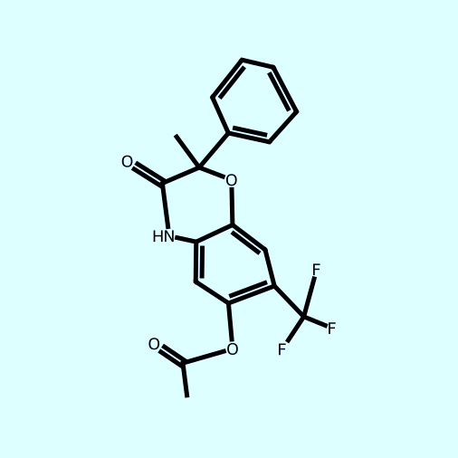 CC(=O)Oc1cc2c(cc1C(F)(F)F)OC(C)(c1ccccc1)C(=O)N2